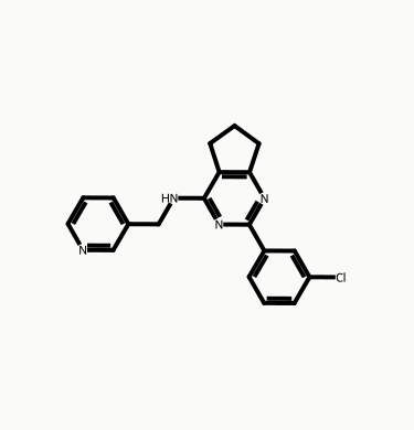 Clc1cccc(-c2nc3c(c(NCc4cccnc4)n2)CCC3)c1